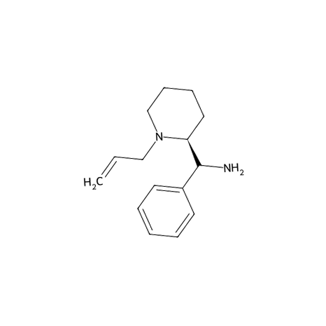 C=CCN1CCCC[C@H]1C(N)c1ccccc1